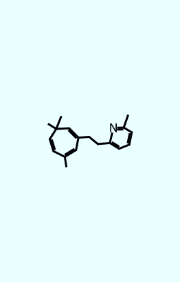 CC1=CC(CCc2cccc(C)n2)=CC(C)(C)C=C1